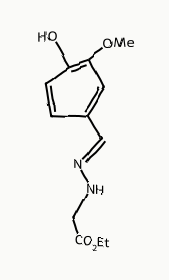 CCOC(=O)CNN=Cc1ccc(O)c(OC)c1